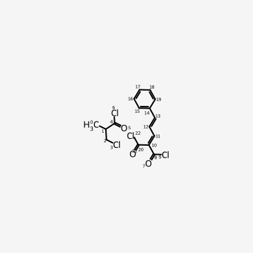 CC(CCl)C(=O)Cl.O=C(Cl)C(=CC=Cc1ccccc1)C(=O)Cl